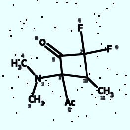 CC(=O)C1(N(C)C)C(=O)C(F)(F)C1C